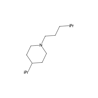 CC(C)CCCN1CCC(C(C)C)CC1